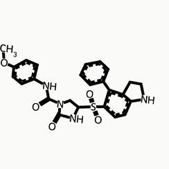 COc1ccc(NC(=O)N2CC(S(=O)(=O)c3ccc4c(c3-c3ccccc3)CCN4)NC2=O)cc1